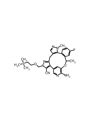 CC1Oc2cc(cnc2N)-c2c(nn(COCCS(C)(C)C)c2C#N)Cc2cnn(C)c2-c2ccc(F)cc21